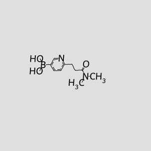 CN(C)C(=O)CCc1ccc(B(O)O)cn1